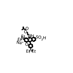 C=C(C)C(=O)OCCNC(=S)c1cc(S(=O)(=O)O)ccc1-c1c2ccc(=[N+](CC)CC)cc-2oc2cc(N(CC)CC)ccc12.[Na+]